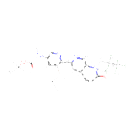 CCSc1cc(N(C)C(=O)OC(C)(C)C)cnc1-c1cc2ccc(=O)n(CC(F)(F)C(F)(F)F)c2cn1